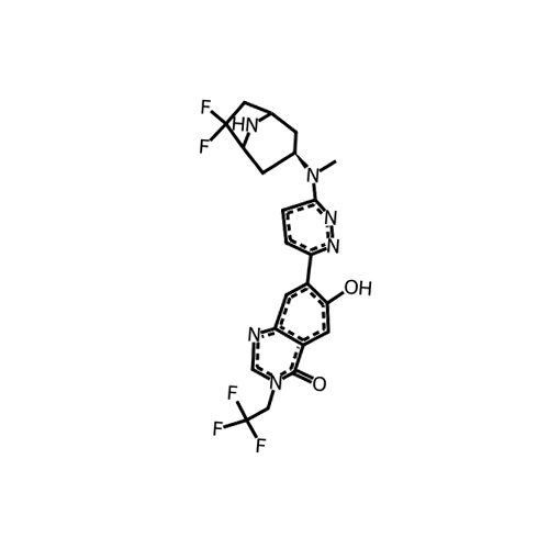 CN(c1ccc(-c2cc3ncn(CC(F)(F)F)c(=O)c3cc2O)nn1)[C@@H]1CC2CC(F)(F)C(C1)N2